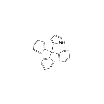 c1ccc(C(c2ccccc2)(c2ccccc2)c2ccc[nH]2)cc1